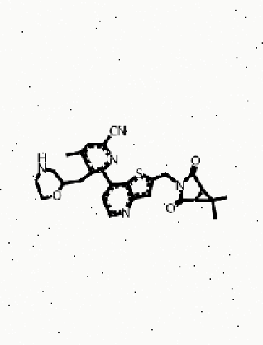 Cc1cc(C#N)nc(-c2ccnc3cc(CN4C(=O)C5C(C4=O)C5(C)C)sc23)c1CC1CNCCO1